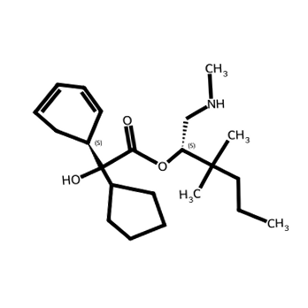 CCCC(C)(C)[C@@H](CNC)OC(=O)C(O)(C1CCCC1)[C@@H]1C=CC=CC1